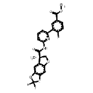 COC(=O)c1ccc(F)c(-c2cccc(NC(=O)[C@@]3(C)COc4cc5c(cc43)OC(F)(F)O5)n2)c1